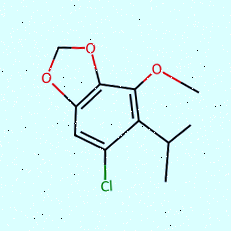 COc1c2c(cc(Cl)c1C(C)C)OCO2